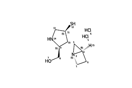 C1C[N@]2C[C@@H]12.Cl.Cl.OC[C@@H]1C[C@H](S)CN1